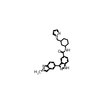 Cn1cc2cc(-c3n[nH]c4ccc(C(=O)NC5CCCC(Cn6cccn6)C5)cc34)ccc2n1